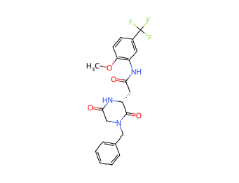 COc1ccc(C(F)(F)F)cc1NC(=O)C[C@H]1NC(=O)CN(Cc2ccccc2)C1=O